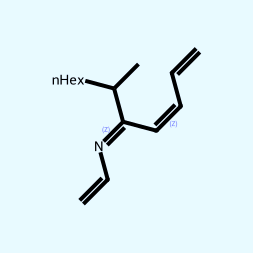 C=C/C=C\C(=N/C=C)C(C)CCCCCC